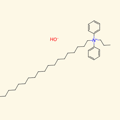 CCCCCCCCCCCCCCCCCCCC[N+](CCC)(c1ccccc1)c1ccccc1.[OH-]